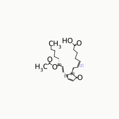 CCCCC[C@H](C=C[C@H]1C=CC(=O)[C@@H]1C/C=C\CCCC(=O)O)OC(C)=O